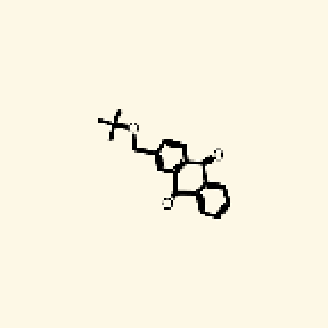 CC(C)(C)OCc1ccc2c(c1)C(=O)c1ccccc1C2=O